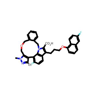 CCc1nn(C)c2c1-c1c(F)ccc3c(CCCOc4cccc5cc(F)ccc45)c(C(=O)O)n(c13)Cc1ccccc1COC2